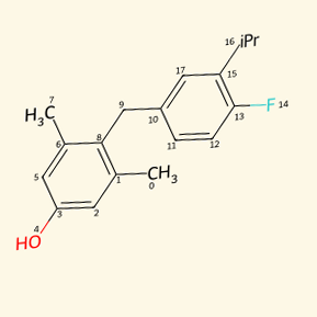 Cc1cc(O)cc(C)c1Cc1ccc(F)c(C(C)C)c1